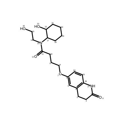 O=C1CCc2cc(OCCCC(=O)N(CCO)C3CCCCC3O)ccc2N1